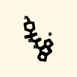 CC(C)N1CCC(S(=O)(=O)NC(=O)Nc2c3c(cc4c2CCC4)CCC3)CC1.[K]